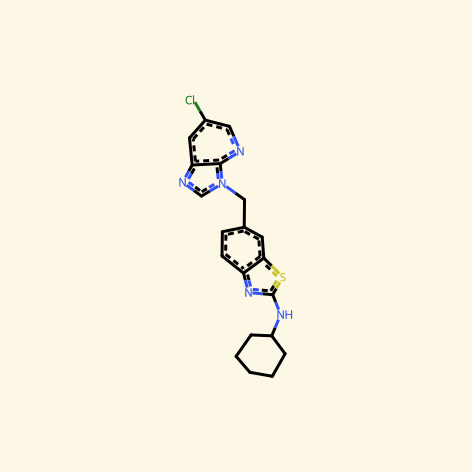 Clc1cnc2c(c1)ncn2Cc1ccc2nc(NC3CCCCC3)sc2c1